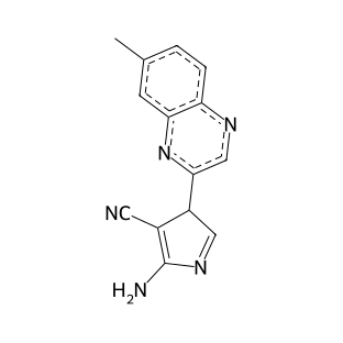 Cc1ccc2ncc(C3C=NC(N)=C3C#N)nc2c1